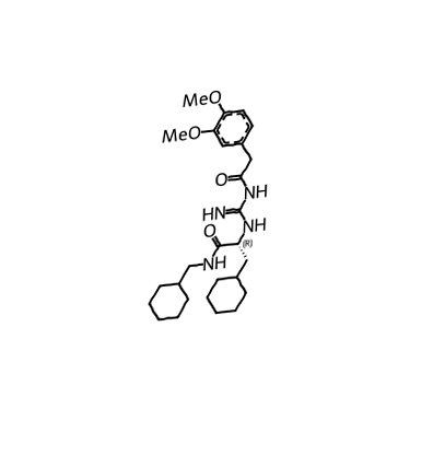 COc1ccc(CC(=O)NC(=N)N[C@H](CC2CCCCC2)C(=O)NCC2CCCCC2)cc1OC